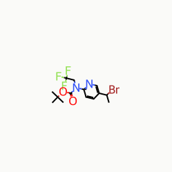 CC(Br)c1ccc(N(CC(F)(F)F)C(=O)OC(C)(C)C)nc1